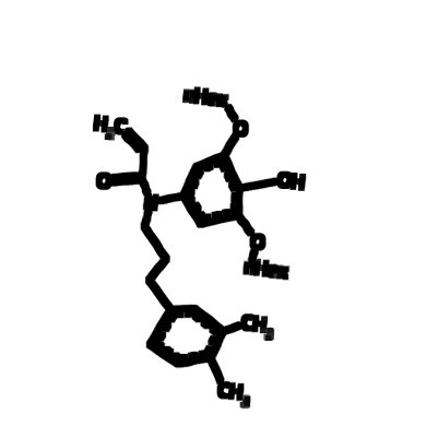 C=CC(=O)N(CCCc1ccc(C)c(C)c1)c1cc(OCCCCCC)c(O)c(OCCCCCC)c1